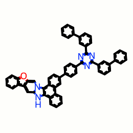 C1=c2oc3ccccc3c2=CC2Nc3c(c4ccc(-c5ccc(-c6nc(-c7cccc(-c8ccccc8)c7)nc(-c7cccc(-c8ccccc8)c7)n6)cc5)cc4c4ccccc34)N12